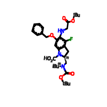 CC[C@@H](C)N(C[C@H]1Cc2c(cc(OCc3ccccc3)c(NCC(=O)OC(C)(C)C)c2F)N1C(=O)O)C(=O)OC(C)(C)C